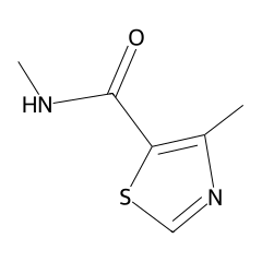 CNC(=O)c1scnc1C